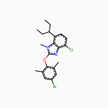 CCC(CC)c1ccc(Cl)c2nc(Oc3c(C)cc(Br)cc3C)n(C)c12